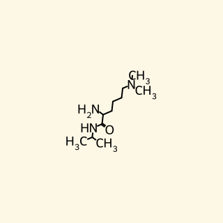 CC(C)NC(=O)C(N)CCCCN(C)C